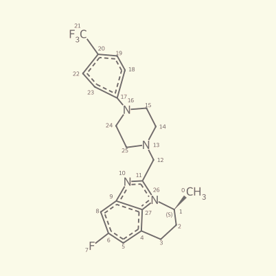 C[C@H]1CCc2cc(F)cc3nc(CN4CCN(c5ccc(C(F)(F)F)cc5)CC4)n1c23